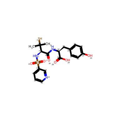 CC(C)(S)[C@H](NS(=O)(=O)c1cccnc1)C(=O)N[C@@H](Cc1ccc(O)cc1)C(=O)O